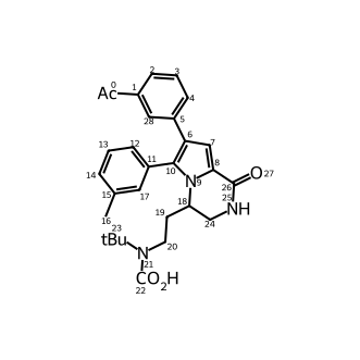 CC(=O)c1cccc(-c2cc3n(c2-c2cccc(C)c2)C(CCN(C(=O)O)C(C)(C)C)CNC3=O)c1